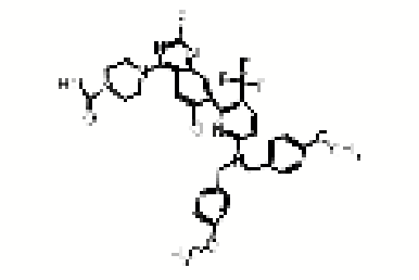 COc1ccc(CN(Cc2ccc(OC)cc2)c2ccc(C(F)(F)F)c(-c3cc4nc(F)nc(N5CCN(C(=O)O)CC5)c4cc3Cl)n2)cc1